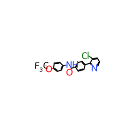 O=C(Nc1ccc(OC(F)(F)F)cc1)c1ccc(-c2ncccc2Cl)cc1